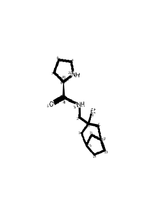 CCC1(CNC(=O)[C@H]2CCCN2)CC2CCC(C2)C1